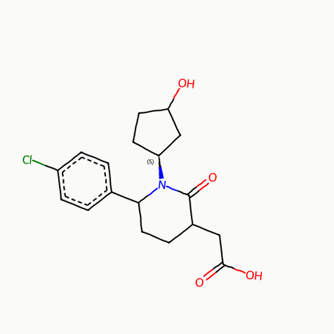 O=C(O)CC1CCC(c2ccc(Cl)cc2)N([C@H]2CCC(O)C2)C1=O